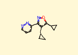 c1cnnc(-c2noc(C3CC3)c2C2CC2)c1